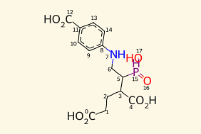 O=C(O)CCC(C(=O)O)C(CNc1ccc(C(=O)O)cc1)[PH](=O)O